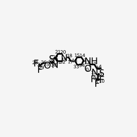 O=C(Cc1csc(C(F)(F)F)n1)N[C@H]1CC[C@H](CCN2CCc3sc(OCC(F)F)nc3C2)CC1